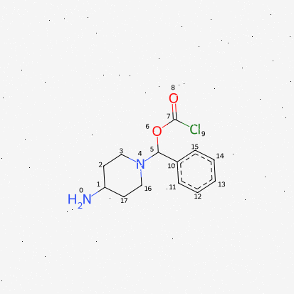 NC1CCN(C(OC(=O)Cl)c2ccccc2)CC1